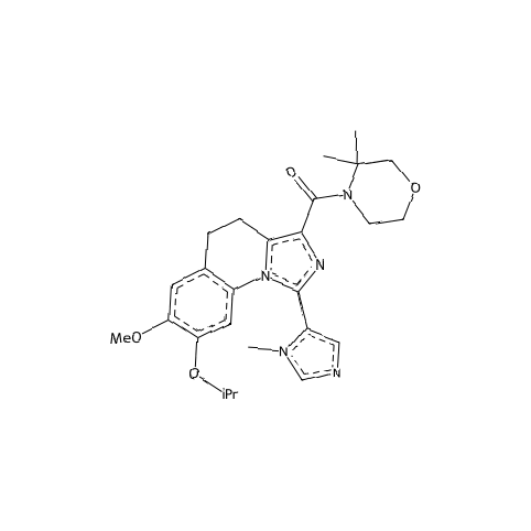 COc1cc2c(cc1OC(C)C)-n1c(-c3cncn3C)nc(C(=O)N3CCOCC3(C)C)c1CC2